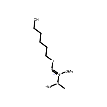 CO/[N+](=N\OCCCCCO)N(C)C(C)(C)C